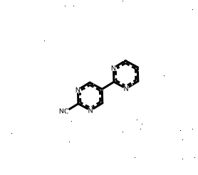 N#Cc1ncc(-c2ncccn2)cn1